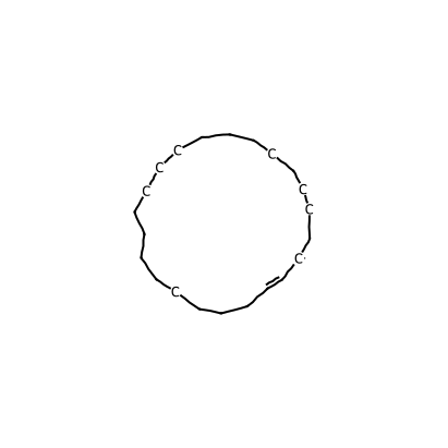 [CH]1/C=C/CCCCCCCCCCCCCCCCCCC1